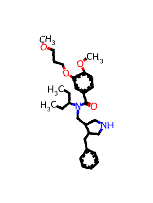 CCC(CC)N(CC1CNCC1Cc1ccccc1)C(=O)c1ccc(OC)c(OCCCOC)c1